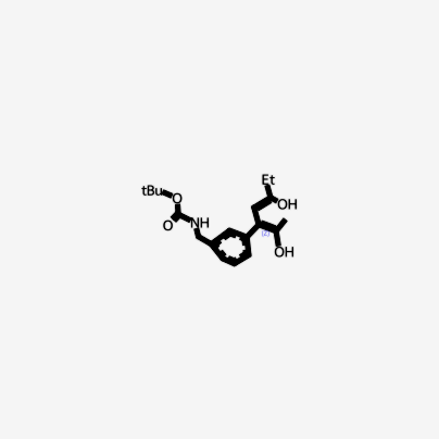 CCC(O)=C/C(=C(\C)O)c1cccc(CNC(=O)OC(C)(C)C)c1